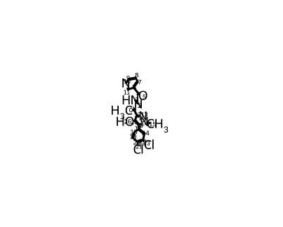 C/C(=N\NC(=O)c1cccnc1)c1nn(C)c(-c2ccc(Cl)c(Cl)c2)c1O